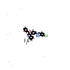 O=C(c1ccccc1)c1cnc2c(C(F)(F)F)cccc2c1-c1cccc(NCc2ccc(Cl)cc2Cl)c1